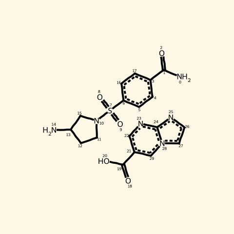 NC(=O)c1ccc(S(=O)(=O)N2CCC(N)C2)cc1.O=C(O)c1cnc2nccn2c1